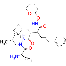 CC(C)CN(NC(=O)[C@H](CC1CCC1)[C@H](CC=Cc1ccccc1)C(=O)NOC1CCCCO1)C(=O)[C@@H](C)N